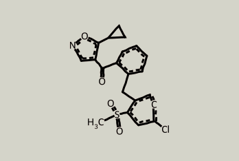 CS(=O)(=O)c1cc(Cl)ccc1Cc1ccccc1C(=O)c1cnoc1C1CC1